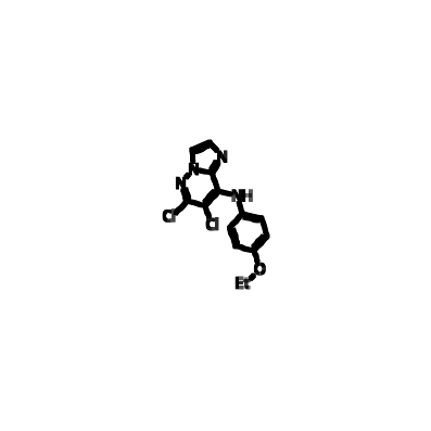 CCOc1ccc(Nc2c(Cl)c(Cl)nn3ccnc23)cc1